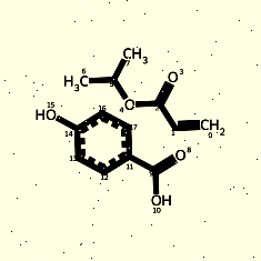 C=CC(=O)OC(C)C.O=C(O)c1ccc(O)cc1